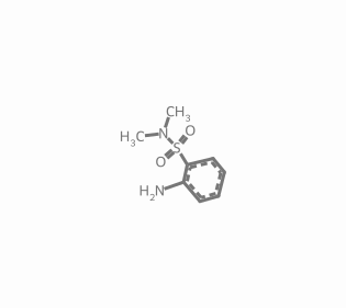 CN(C)S(=O)(=O)c1ccccc1N